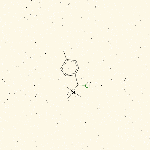 Cc1ccc(C(Cl)[Si](C)(C)C)cc1